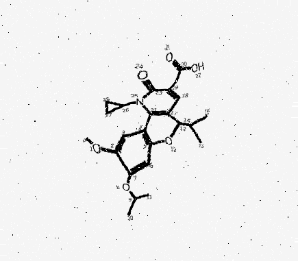 COc1cc2c(cc1OC(C)C)OC(C(C)C)c1cc(C(=O)O)c(=O)n(C3CC3)c1-2